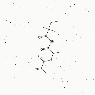 C=C(C)C(=O)OC(C)C(=O)NC(=O)C(C)(C)CC